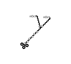 CCCCCCCC/C=C\CCCCCCCCOCC(CCCCOCCOCCOCCOCCOCCOC(c1ccccc1)(c1ccccc1)c1ccccc1)OCCCCCCCC/C=C\CCCCCCCC